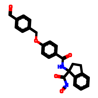 O=Cc1ccc(COc2ccc(C(=O)NC3(C(=O)N=O)CCc4ccccc43)cc2)cc1